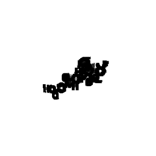 CCOC(=O)C1=C(CN2CC[C@]3(C)C(=O)N(c4ccc(C(=O)O)cc4)C[C@@H]3C2)NC(c2nccs2)=N[C@H]1c1cccc(F)c1C